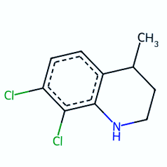 CC1CCNc2c1ccc(Cl)c2Cl